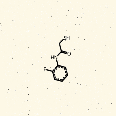 O=C(CS)Nc1ccccc1F